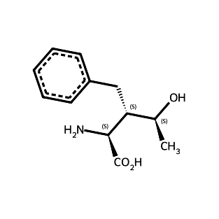 C[C@H](O)[C@@H](Cc1ccccc1)[C@H](N)C(=O)O